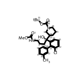 COC(=O)NCCC[C@@](O)(c1cccc(Cl)c1-c1cccc(C)c1)C1CCCN(C(=O)OC(C)(C)C)C1